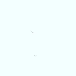 CCCNc1cccc([N+](=O)[O-])c1C